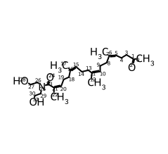 CC(=O)CCC=C(C)CCC=C(C)CCC=C(C)CCC=C(C)C(=O)N(CCO)CCO